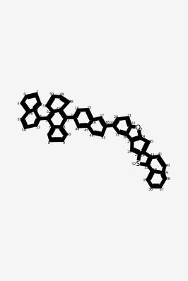 c1ccc2c(-c3c4ccccc4c(-c4ccc5cc(-c6ccc7oc8cc9c(cc8c7c6)sc6c7ccccc7ccc96)ccc5c4)c4ccccc34)cccc2c1